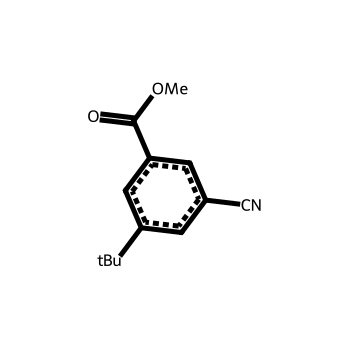 COC(=O)c1cc(C#N)cc(C(C)(C)C)c1